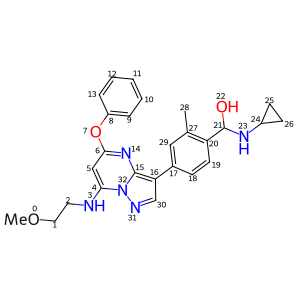 COCCNc1cc(Oc2ccccc2)nc2c(-c3ccc(C(O)NC4CC4)c(C)c3)cnn12